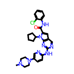 CN1CCN(c2ccc(Nc3ncc4cc(C(=O)Nc5ccccc5Cl)n(C5CCCC5)c4n3)nc2)CC1